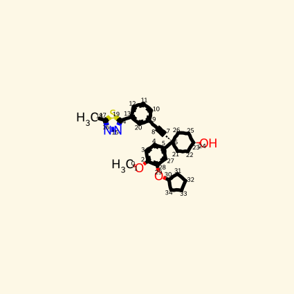 COc1ccc([C@]2(C#Cc3cccc(-c4nnc(C)s4)c3)CC[C@@H](O)CC2)cc1OC1CCCC1